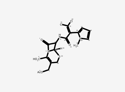 CC(=O)OCC1=C(C(=O)O)N2C(=O)C(NC(=O)C(=C(Cl)Cl)c3cccn3C)[C@@H]2SC1